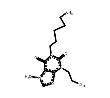 CCCCCCn1c(=O)c2c(ncn2C)n(CCC)c1=O